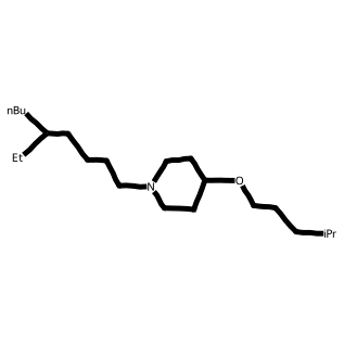 CCCCC(CC)CCCCN1CCC(OCCCC(C)C)CC1